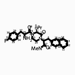 CCC[C@H]1C(=O)N(C(Cc2ccc3ccccc3c2)C(=O)NC)CCN1C(=O)C(N)Cc1ccc(F)cc1